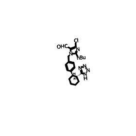 CCCCc1nc(Cl)c(C=O)n1Cc1ccc([C@@H]2CCCC[C@H]2c2nnn[nH]2)cc1